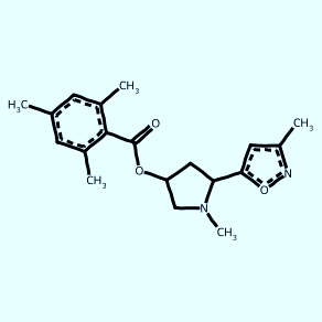 Cc1cc(C)c(C(=O)OC2CC(c3cc(C)no3)N(C)C2)c(C)c1